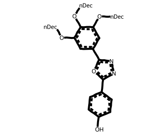 CCCCCCCCCCOc1cc(-c2nnc(-c3ccc(O)cc3)o2)cc(OCCCCCCCCCC)c1OCCCCCCCCCC